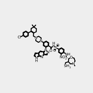 CN1CCO[C@@H](CNc2ccc(S(=O)(=O)NC(=O)c3ccc(N4CCN(CC5=C(c6ccc(Cl)cc6)CC(C)(C)CC5)CC4)cc3-n3ncc4nc5[nH]ccc5cc43)cc2[N+](=O)[O-])C(C[SiH3])C1